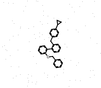 c1ccc(COc2ccccc2-c2ccccc2Cc2ccc(C3CC3)cc2)cc1